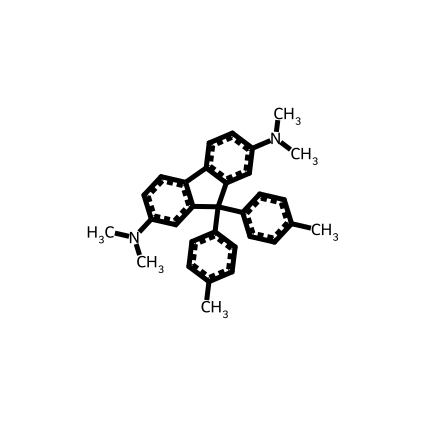 Cc1ccc(C2(c3ccc(C)cc3)c3cc(N(C)C)ccc3-c3ccc(N(C)C)cc32)cc1